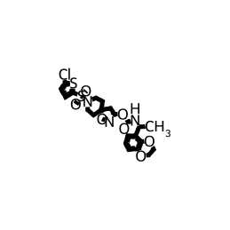 CC(NC(=O)OC1=NOC2(CCN(S(=O)(=O)c3ccc(Cl)s3)CC2)C1)c1cccc2c1OCCO2